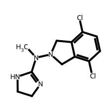 CN(C1=NCCN1)N1Cc2c(Cl)ccc(Cl)c2C1